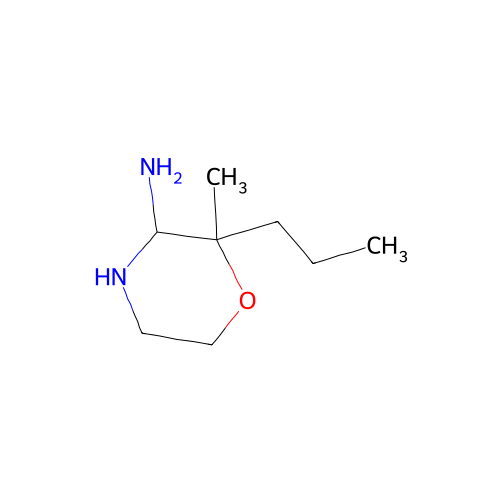 CCCC1(C)OCCNC1N